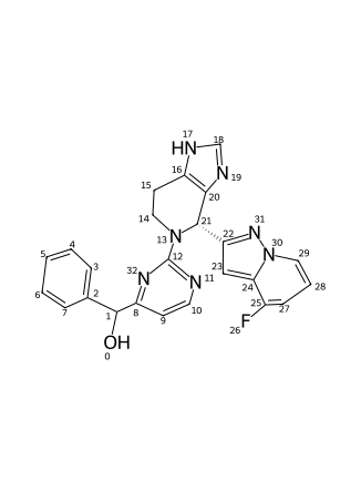 OC(c1ccccc1)c1ccnc(N2CCc3[nH]cnc3[C@@H]2c2cc3c(F)cccn3n2)n1